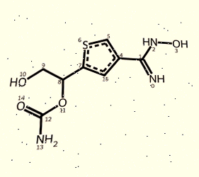 N=C(NO)c1csc(C(CO)OC(N)=O)c1